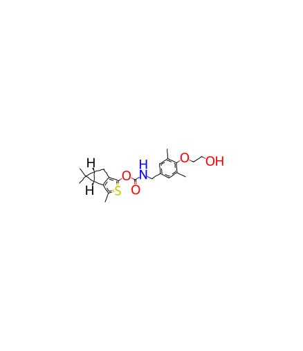 Cc1cc(CNC(=O)Oc2sc(C)c3c2C[C@@H]2[C@H]3C2(C)C)cc(C)c1OCCO